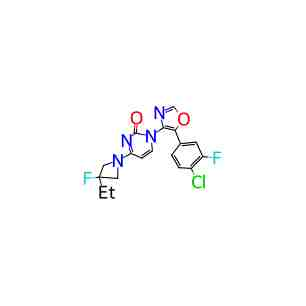 CCC1(F)CN(c2ccn(-c3ncoc3-c3ccc(Cl)c(F)c3)c(=O)n2)C1